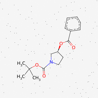 CC(C)(C)OC(=O)N1CC[C@H](OC(=O)c2ccccc2)C1